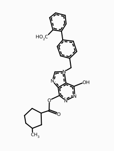 CC1CCCC(C(=O)Oc2nnc(O)c3c2ncn3Cc2ccc(-c3ccccc3C(=O)O)cc2)C1